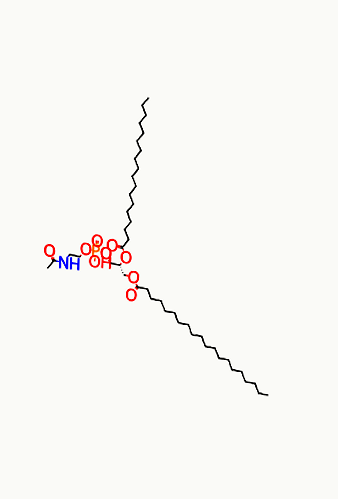 CCCCCCCCCCCCCCCCCCCC(=O)OC[C@H](COP(=O)(O)OCCNC(C)=O)OC(=O)CCCCCCCCCCCCCCCCC